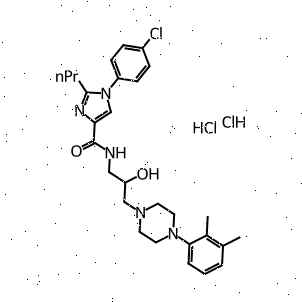 CCCc1nc(C(=O)NCC(O)CN2CCN(c3cccc(C)c3C)CC2)cn1-c1ccc(Cl)cc1.Cl.Cl